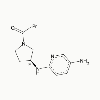 CC(C)C(=O)N1CC[C@H](Nc2ccc(N)cn2)C1